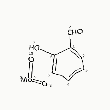 O=Cc1ccccc1O.[O]=[Mo]=[O]